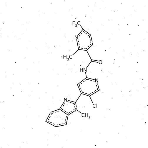 Cc1nc(C(F)(F)F)ccc1C(=O)Nc1cc(-c2nc3ccccc3n2C)c(Cl)cn1